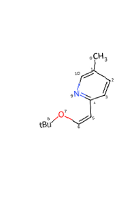 Cc1ccc(/C=C\OC(C)(C)C)nc1